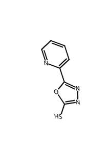 Sc1nnc(-c2ccccn2)o1